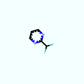 FC(F)c1nc[c]cn1